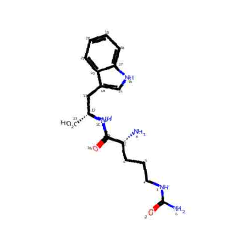 NC(=O)NCCC[C@@H](N)C(=O)N[C@@H](Cc1c[nH]c2ccccc12)C(=O)O